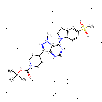 Cn1nc(C2CCN(C(=O)OC(C)(C)C)CC2)c2ncnc(N3CCc4cc(S(C)(=O)=O)ccc43)c21